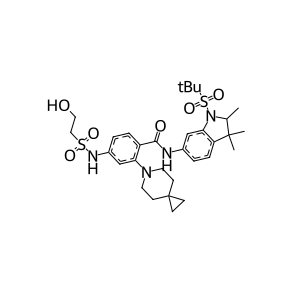 CC1N(S(=O)(=O)C(C)(C)C)c2cc(NC(=O)c3ccc(NS(=O)(=O)CCO)cc3N3CCC4(CC3)CC4)ccc2C1(C)C